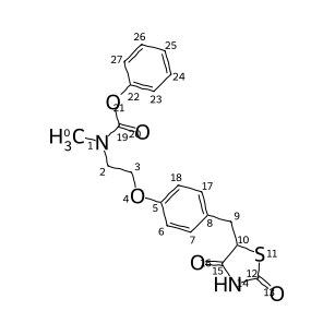 CN(CCOc1ccc(CC2SC(=O)NC2=O)cc1)C(=O)Oc1ccccc1